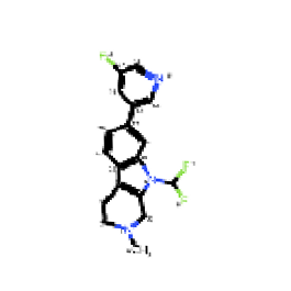 CN1CCc2c(n(C(F)F)c3cc(-c4cncc(F)c4)ccc23)C1